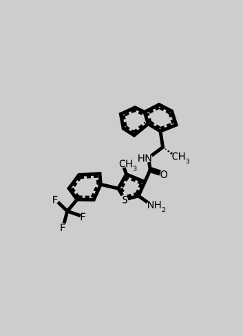 Cc1c(-c2cccc(C(F)(F)F)c2)sc(N)c1C(=O)N[C@@H](C)c1cccc2ccccc12